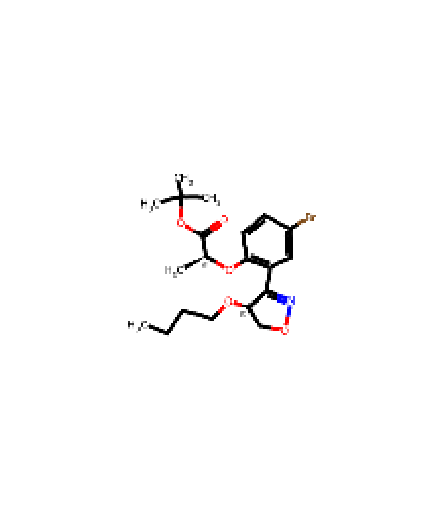 CCCCO[C@@H]1CON=C1c1cc(Br)ccc1O[C@@H](C)C(=O)OC(C)(C)C